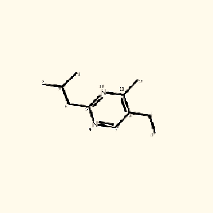 CCc1[c]nc(CC(C)C)nc1C